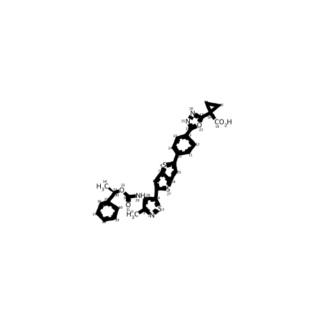 Cc1nsc(-c2cc3sc(-c4ccc(-c5nnc(C6(C(=O)O)CC6)o5)cc4)cc3s2)c1NC(=O)O[C@H](C)c1ccccc1